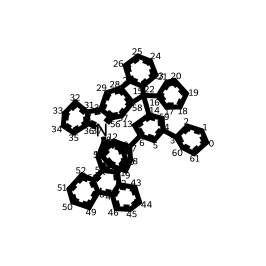 c1ccc(-c2cc(-c3ccccc3)cc(C3(c4ccccc4)c4ccccc4-c4cc5c6ccccc6n(-c6ccc7c8ccccc8c8ccccc8c7c6)c5cc43)c2)cc1